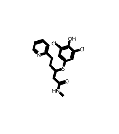 CNC(=O)CC(CCc1ccccn1)Sc1cc(Cl)c(O)c(Cl)c1